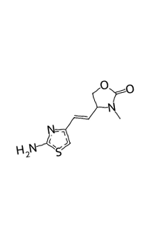 CN1C(=O)OCC1/C=C/c1csc(N)n1